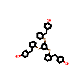 Oc1ccc(Cc2ccccc2Sc2cc(Sc3ccccc3Cc3ccc(O)cc3)cc(Sc3ccccc3Cc3ccc(O)cc3)c2)cc1